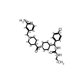 CCNC(=O)NC(c1ccc(Cl)cc1)C1CCN(C(=O)C2CCN(Cc3ccnc(N)c3)CC2)CC1